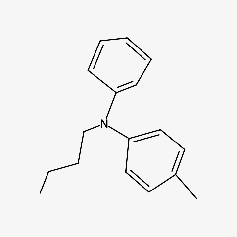 CCCCN(c1ccccc1)c1ccc(C)cc1